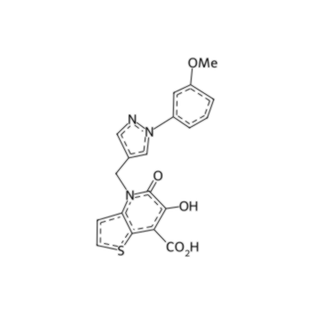 COc1cccc(-n2cc(Cn3c(=O)c(O)c(C(=O)O)c4sccc43)cn2)c1